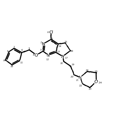 Clc1nc(OCc2ccccc2)nc2c1CCN2CCCN1CCOCC1